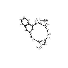 Cn1nc2cc1CSc1cc(c3ccccc3c1)OC1(C)CNN=C1CSC2